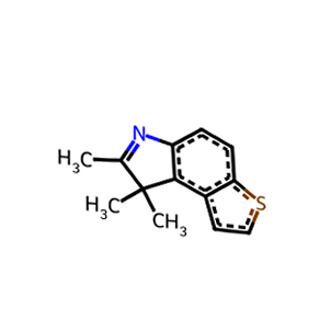 CC1=Nc2ccc3sccc3c2C1(C)C